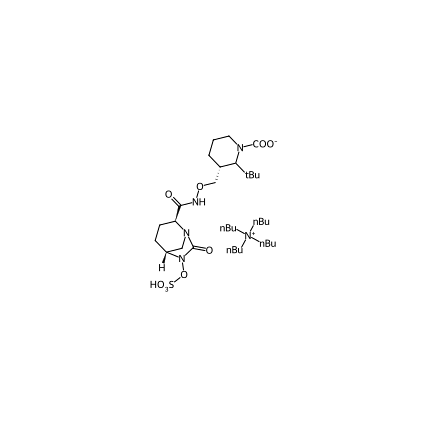 CC(C)(C)C1[C@H](CONC(=O)[C@@H]2CC[C@@H]3CN2C(=O)N3OS(=O)(=O)O)CCCN1C(=O)[O-].CCCC[N+](CCCC)(CCCC)CCCC